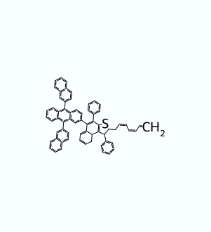 C=C/C=C\C=C/CC1SC2=C(C3CC=CC=C3C(c3ccc4c(-c5ccc6ccccc6c5)c5ccccc5c(-c5ccc6ccccc6c5)c4c3)=C2c2ccccc2)C1c1ccccc1